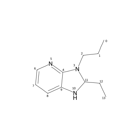 CCCN1c2ncccc2NC1CC